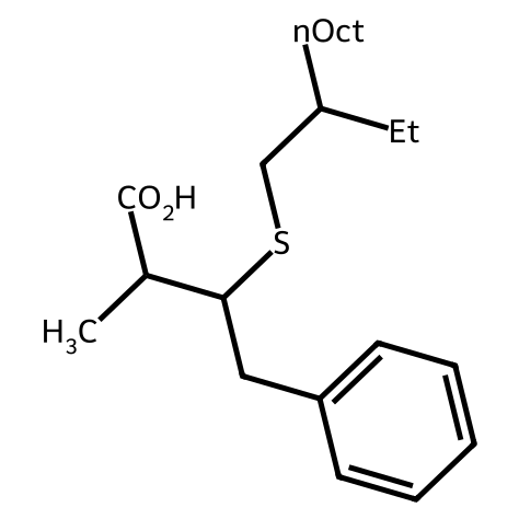 CCCCCCCCC(CC)CSC(Cc1ccccc1)C(C)C(=O)O